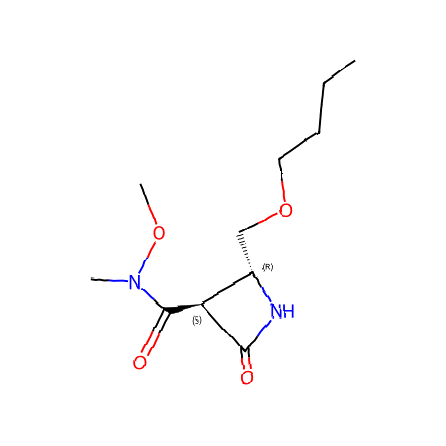 CCCCOC[C@@H]1NC(=O)[C@H]1C(=O)N(C)OC